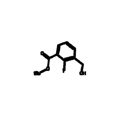 CC(C)(C)OC(=O)c1cccc(CO)c1F